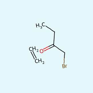 C=C.CCC(=O)CBr